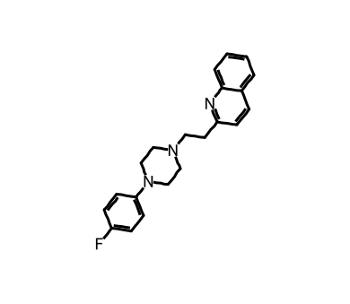 Fc1ccc(N2CCN(CCc3ccc4ccccc4n3)CC2)cc1